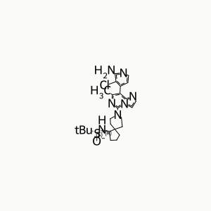 Cc1nc(N2CCC3(CCC[C@H]3N[S@+]([O-])C(C)(C)C)CC2)n2ccnc2c1-c1ccnc(N)c1Cl